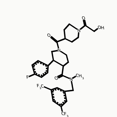 CN(Cc1cc(C(F)(F)F)cc(C(F)(F)F)c1)C(=O)C1CCN(C(=O)C2CCN(C(=O)CO)CC2)CC1c1ccc(F)cc1